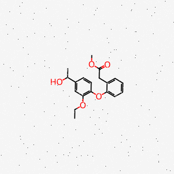 CCOc1cc(C(C)O)ccc1Oc1ccccc1CC(=O)OC